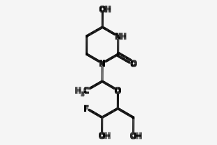 CC(OC(CO)C(O)F)N1CCC(O)NC1=O